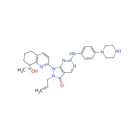 C=CCn1c(=O)c2cnc(Nc3ccc(N4CCNCC4)cc3)nc2n1-c1ccc2c(n1)[C@@](C)(O)CCC2